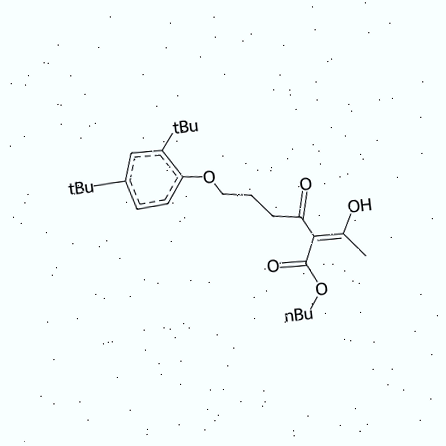 CCCCOC(=O)/C(C(=O)CCCOc1ccc(C(C)(C)C)cc1C(C)(C)C)=C(\C)O